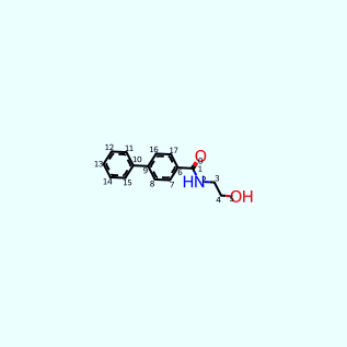 O=C(NCCO)c1ccc(-c2ccccc2)cc1